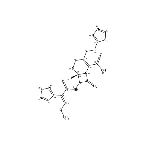 CON=C(C(=O)NC1C(=O)N2C(C(=O)O)=C(CSc3nncs3)CS[C@@H]12)c1cnsn1